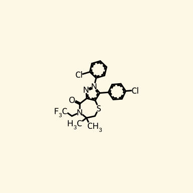 CC1(C)CSc2c(nn(-c3ccccc3Cl)c2-c2ccc(Cl)cc2)C(=O)N1CC(F)(F)F